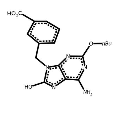 CCCCOc1nc(N)c2nc(O)n(Cc3cccc(C(=O)O)c3)c2n1